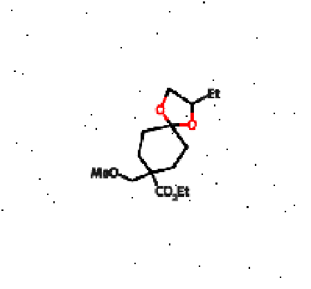 CCOC(=O)C1(COC)CCC2(CC1)OCC(CC)O2